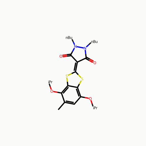 CCCCN1C(=O)C(=C2Sc3c(OC(C)C)cc(C)c(OC(C)C)c3S2)C(=O)N1CCCC